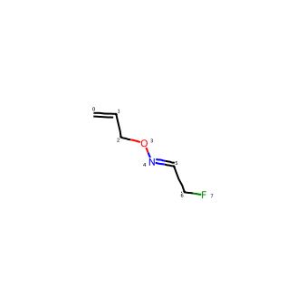 C=CCON=C[CH]F